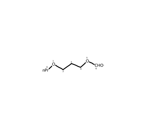 CCCOCCCO[C]=O